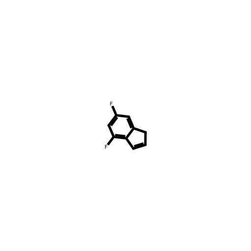 Fc1[c]c(F)c2c(c1)CC=C2